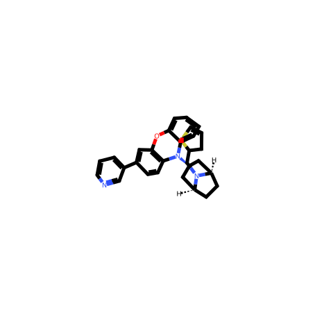 C1=CSC(CN2[C@@H]3CC[C@H]2C[C@@H](N2c4ccccc4Oc4cc(-c5cccnc5)ccc42)C3)C1